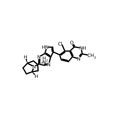 Cc1nc2ccc(-c3c[nH]c4nc(N5[C@@H]6CC[C@H]5C[C@@H](N)C6)cnc34)c(Cl)c2c(=O)[nH]1